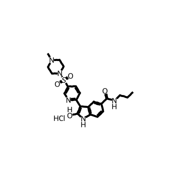 CCCNC(=O)c1ccc2[nH]c(O)c(-c3ccc(S(=O)(=O)N4CCN(C)CC4)cn3)c2c1.Cl